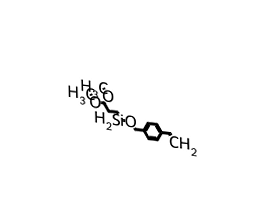 C=Cc1ccc(CO[SiH2]CCC(OC)OC)cc1